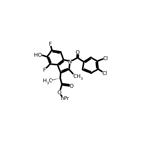 CCCOC(=O)[C@H](C)c1c(C)n(C(=O)c2ccc(Cl)c(Cl)c2)c2cc(F)c(O)c(F)c12